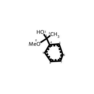 COC(C)(O)c1ccccc1